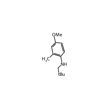 COc1ccc(NCC(C)(C)C)c(C)c1